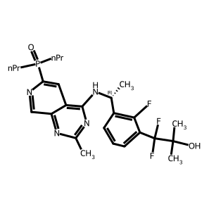 CCCP(=O)(CCC)c1cc2c(N[C@H](C)c3cccc(C(F)(F)C(C)(C)O)c3F)nc(C)nc2cn1